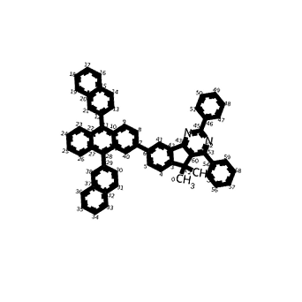 CC1(C)c2ccc(-c3ccc4c(-c5ccc6ccccc6c5)c5ccccc5c(-c5ccc6ccccc6c5)c4c3)cc2-c2nc(-c3ccccc3)nc(-c3ccccc3)c21